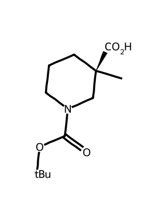 CC(C)(C)OC(=O)N1CCC[C@@](C)(C(=O)O)C1